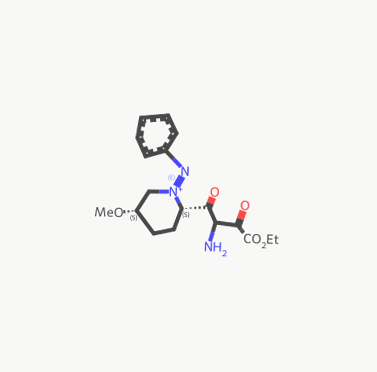 CCOC(=O)C(=O)C(N)C(=O)[C@@H]1CC[C@H](OC)C/[N+]1=N\c1ccccc1